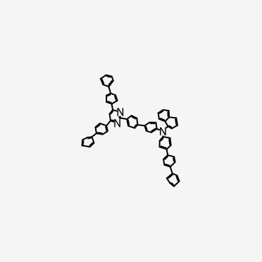 c1ccc(-c2ccc(-c3ccc(N(c4ccc(-c5ccc(-c6nc(-c7ccc(-c8ccccc8)cc7)cc(-c7ccc(-c8ccccc8)cc7)n6)cc5)cc4)c4cccc5ccccc45)cc3)cc2)cc1